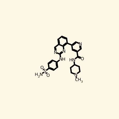 CN1CCC(NC(=O)c2cncc(-c3cccc4cnc(Nc5ccc(S(N)(=O)=O)cc5)nc34)c2)CC1